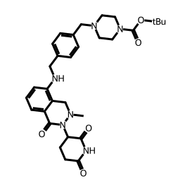 CN1Cc2c(NCc3ccc(CN4CCN(C(=O)OC(C)(C)C)CC4)cc3)cccc2C(=O)N1C1CCC(=O)NC1=O